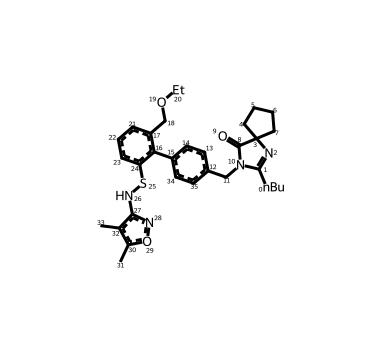 CCCCC1=NC2(CCCC2)C(=O)N1Cc1ccc(-c2c(COCC)cccc2SNc2noc(C)c2C)cc1